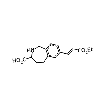 CCOC(=O)/C=C/c1ccc2c(c1)CCC(C(=O)O)NC2